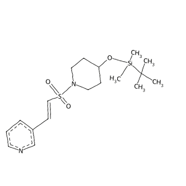 CC(C)(C)[Si](C)(C)OC1CCN(S(=O)(=O)/C=C/c2cccnc2)CC1